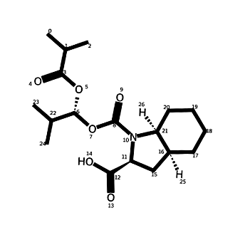 CC(C)C(=O)O[C@H](OC(=O)N1[C@H](C(=O)O)C[C@@H]2CCCC[C@@H]21)C(C)C